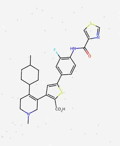 CC1CCC(C2=C(c3cc(-c4ccc(NC(=O)c5cscn5)c(F)c4)sc3C(=O)O)CN(C)CC2)CC1